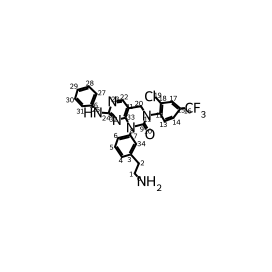 NCCc1cccc(N2C(=O)N(c3ccc(C(F)(F)F)cc3Cl)Cc3cnc(Nc4ccccc4)nc32)c1